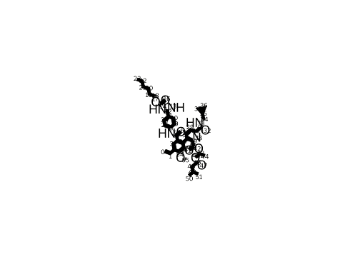 C=Cc1cc(C(=O)Nc2ccc(C(=N)NC(=O)OCCCCCC)cc2)c(-c2ccc(C(=O)NCC3CC3)nc2C(=O)OC(C)OC(=O)CC(C)C)cc1OC